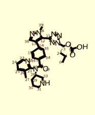 CCC[C@@H](OC(=O)O)n1nnc(-c2c(-c3ccc(C(=O)N(c4ncccc4C)[C@@H]4CCCNC4)cc3)cnn2C)n1